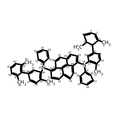 CC1=CC=CC(C)C1c1ccc(C)c(N(c2ccccc2)c2ccc3ccc4c(N(c5ccccc5)c5cc(-c6c(C)cccc6C)ccc5C)ccc5ccc2c3c54)c1